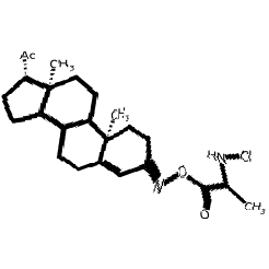 CC(=O)[C@H]1CCC2C3CCC4=C/C(=N/OC(=O)C(C)NCl)CC[C@]4(C)C3CC[C@@]21C